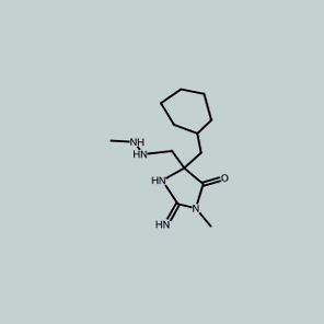 CNNCC1(CC2CCCCC2)NC(=N)N(C)C1=O